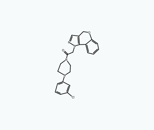 O=C(Cn1ncc2c1-c1ccccc1OC2)N1CCN(c2cccc(Cl)c2)CC1